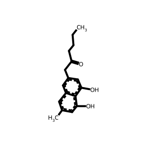 CCCCC(=O)Cc1cc(O)c2c(O)cc(C)cc2c1